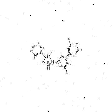 CC1=C(c2ccccn2)CNN1c1cc(C)cc(-c2cccc(C)c2)c1